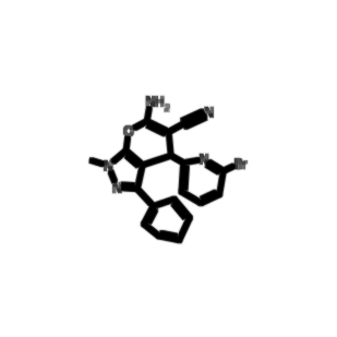 Cn1nc(-c2ccccc2)c2c1OC(N)=C(C#N)C2c1cccc(Br)n1